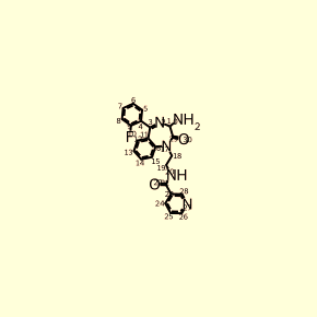 NC1N=C(c2ccccc2F)c2ccccc2N(CCNC(=O)c2cccnc2)C1=O